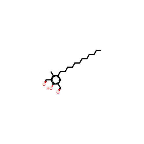 CCCCCCCCCCCCc1cc(C=O)c(O)c(C=O)c1C